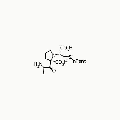 CCCCCSC[C@@H](C(=O)O)N1CCCC1(C(=O)O)C(=O)C(C)N